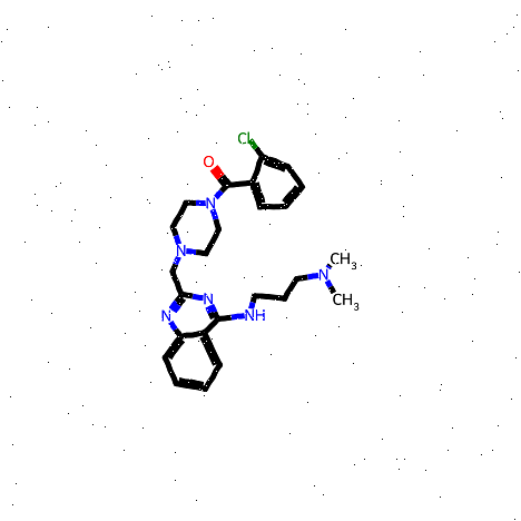 CN(C)CCCNc1nc(CN2CCN(C(=O)c3ccccc3Cl)CC2)nc2ccccc12